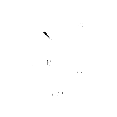 CCC(=O)[C@H](CC)N(C(=O)O)C(C)(C)C